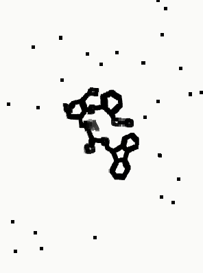 O=Cc1ccccc1Sc1c(Cl)cncc1CNC(=O)OCC1c2ccccc2-c2ccccc21